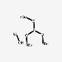 CCCCOP(OCCCC)OCCCC.CCO